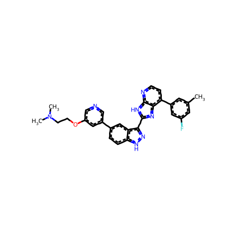 Cc1cc(F)cc(-c2ccnc3[nH]c(-c4n[nH]c5ccc(-c6cncc(OCCN(C)C)c6)cc45)nc23)c1